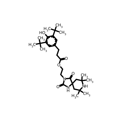 CC1(C)CC2(CC(C)(C)N1)NC(=O)N(CCOC(=O)CCc1cc(C(C)(C)C)c(O)c(C(C)(C)C)c1)C2=O